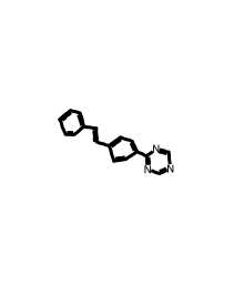 C(=Cc1ccc(-c2ncncn2)cc1)c1ccccc1